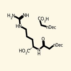 CCCCCCCCCCCC(=O)N[C@@H](CCCNC(=N)N)C(=O)O.CCCCCCCCCCCC(=O)O